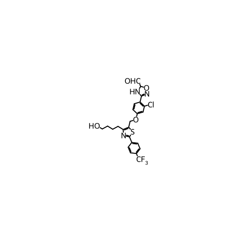 O=CC1NC(c2ccc(OCc3sc(-c4ccc(C(F)(F)F)cc4)nc3CCCCO)cc2Cl)=NO1